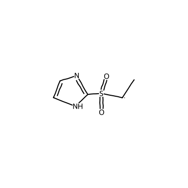 C[CH]S(=O)(=O)c1ncc[nH]1